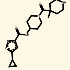 CC1(C(=O)N2CCC(NC(=O)c3cc(C4CC4)on3)CC2)CCNCC1